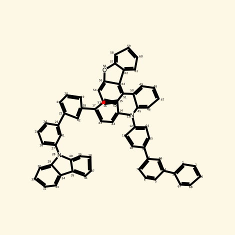 c1ccc(-c2cccc(-c3ccc(N(c4ccc(-c5cccc(-c6cccc(-n7c8ccccc8c8ccccc87)c6)c5)cc4)c4ccccc4-c4cccc5oc6ccccc6c45)cc3)c2)cc1